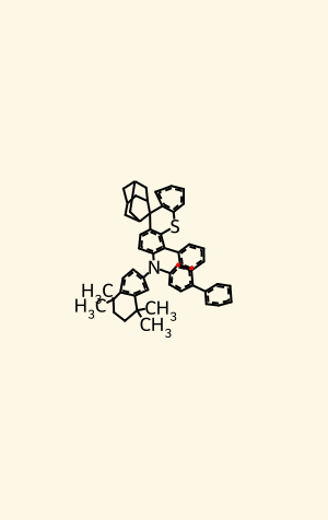 CC1(C)CCC(C)(C)c2cc(N(c3ccc(-c4ccccc4)cc3)c3ccc4c(c3-c3ccccc3)Sc3ccccc3C43C4CC5CC(C4)CC3C5)ccc21